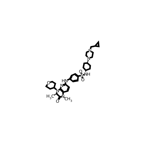 C[C@@H]1C(=O)N(C)c2ccc(Nc3ccc(S(=O)(=O)N[C@H]4CC[C@H](N5CCN(CC6CC6)CC5)CC4)cc3)nc2N1C1CCOCC1